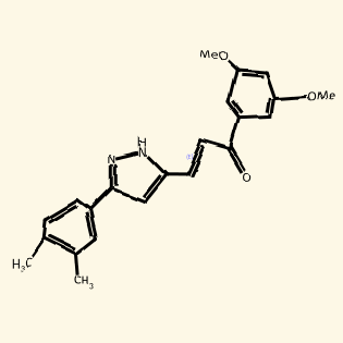 COc1cc(OC)cc(C(=O)/C=C/c2cc(-c3ccc(C)c(C)c3)n[nH]2)c1